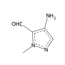 Cn1ncc(N)c1C=O